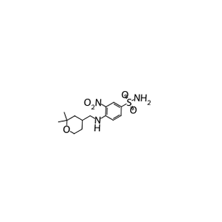 CC1(C)CC(CNc2ccc(S(N)(=O)=O)cc2[N+](=O)[O-])CCO1